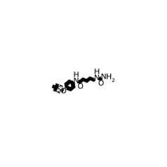 CC(C)(C)[Si](C)(C)Oc1ccc(NC(=O)CCCCNC(N)=O)cc1